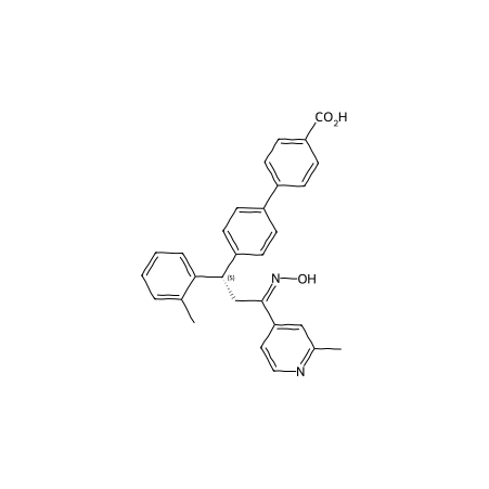 Cc1cc(C(C[C@@H](c2ccc(-c3ccc(C(=O)O)cc3)cc2)c2ccccc2C)=NO)ccn1